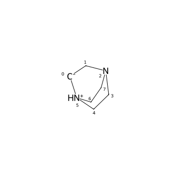 [CH-]1CN2CC[NH+]1CC2